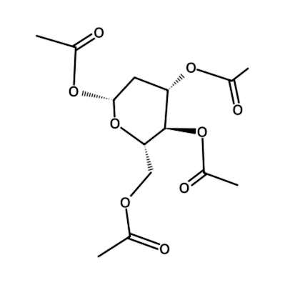 CC(=O)OC[C@@H]1O[C@H](OC(C)=O)C[C@H](OC(C)=O)[C@H]1OC(C)=O